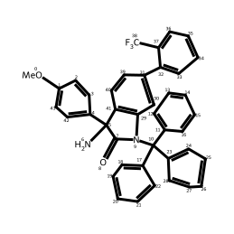 COc1ccc(C2(N)C(=O)N(C(c3ccccc3)(c3ccccc3)c3ccccc3)c3cc(-c4ccccc4C(F)(F)F)ccc32)cc1